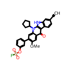 C#Cc1ccc2c(c1)[nH]c1c2c(=O)c2cc(OC)c(-c3cccc(OS(=O)(=O)F)c3)cc2n1C1CCCC1